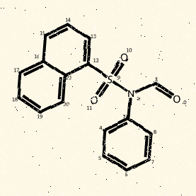 O=CN(c1cc[c]cc1)S(=O)(=O)c1cccc2ccccc12